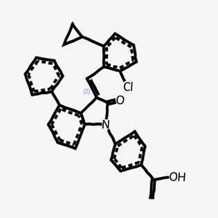 C=C(O)c1ccc(N2C(=O)/C(=C\c3c(Cl)cccc3C3CC3)c3c(-c4ccccc4)cccc32)cc1